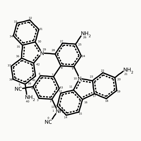 N#CNc1cc(C#N)cc(-c2c(-n3c4ccccc4c4ccc(N)cc43)cc(N)cc2-n2c3ccccc3c3ccc(N)cc32)c1